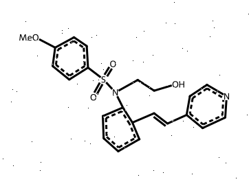 COc1ccc(S(=O)(=O)N(CCO)c2ccccc2/C=C/c2ccncc2)cc1